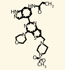 C=CC(=O)Nc1cc(-c2nc(N3CCOCC3)c3sc(CN4CCN(S(C)(=O)=O)CC4)cc3n2)c2cn[nH]c2c1